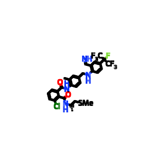 CSC[C@H](C)NC(=O)c1c(Cl)cccc1C(=O)Nc1ccc(CNc2ccc(C(F)(C(F)(F)F)C(F)(F)F)cc2C=N)cc1C